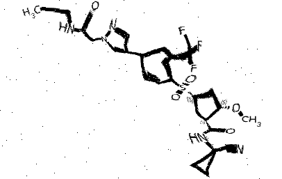 CCNC(=O)Cn1cc(-c2ccc(S(=O)(=O)[C@@H]3C[C@H](OC)[C@@H](C(=O)NC4(C#N)CC4)C3)c(C(F)(F)F)c2)cn1